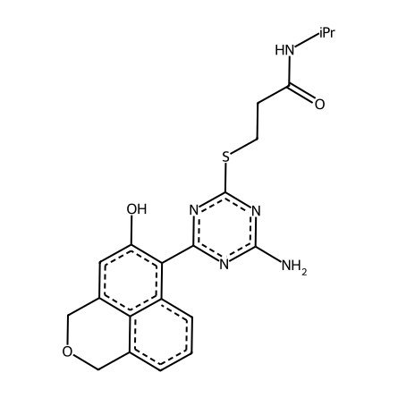 CC(C)NC(=O)CCSc1nc(N)nc(-c2c(O)cc3c4c(cccc24)COC3)n1